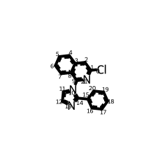 Clc1cc2ccccc2c(-n2ccnc2-c2ccccc2)n1